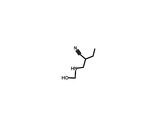 CCC(C#N)CNCO